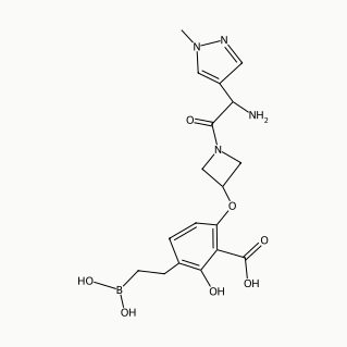 Cn1cc(C(N)C(=O)N2CC(Oc3ccc(CCB(O)O)c(O)c3C(=O)O)C2)cn1